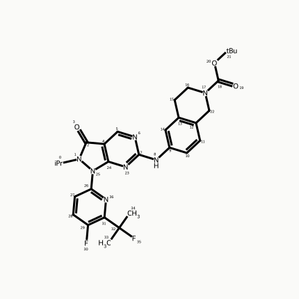 CC(C)n1c(=O)c2cnc(Nc3ccc4c(c3)CCN(C(=O)OC(C)(C)C)C4)nc2n1-c1ccc(F)c(C(C)(C)F)n1